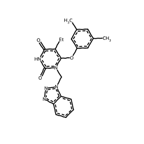 CCc1c(Oc2cc(C)cc(C)c2)n(Cn2nnc3ccccc32)c(=O)[nH]c1=O